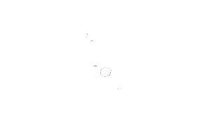 C=CC(=O)OCCCC(=O)c1ccc(OCC2(CC)COC2)cc1